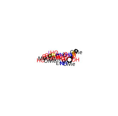 CCN[C@H]1CO[C@@H](O[C@H]2[C@H](O[C@H]3C#CC=CC#C[C@]4(O)CC(=O)C(NC(=O)OC)=C3/C4=C\CSSC3CCCCC3)O[C@H](C)[C@@H](NO[C@H]3C[C@H](O)[C@H]([SH]=C(O)c4c(C)c(I)c(O[C@@H]5O[C@@H](C)[C@H](O)[C@@H](OC)[C@H]5O)c(OC)c4OC)[C@@H](C)O3)[C@@H]2O)C[C@@H]1OC